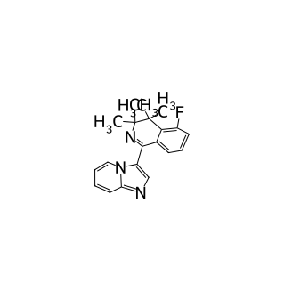 CC1(C)N=C(c2cnc3ccccn23)c2cccc(F)c2C1(C)C